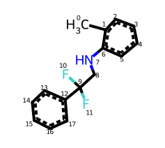 Cc1ccccc1NCC(F)(F)c1ccccc1